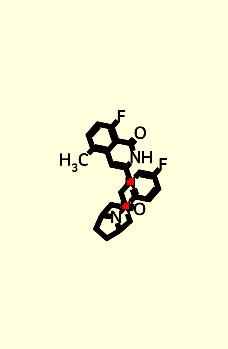 Cc1ccc(F)c2c(=O)[nH]c(CCC(=O)N3C4CCC3CN(c3ccc(F)cn3)C4)cc12